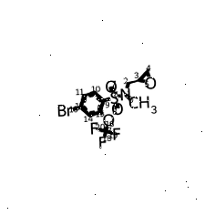 CN(C[C@H]1CO1)S(=O)(=O)c1ccc(Br)cc1OC(F)(F)F